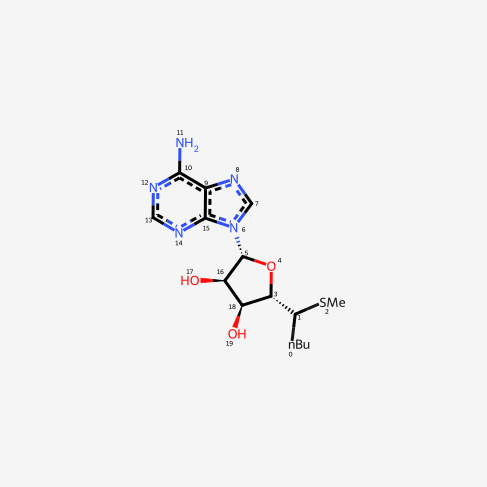 CCCCC(SC)[C@H]1O[C@@H](n2cnc3c(N)ncnc32)[C@H](O)[C@@H]1O